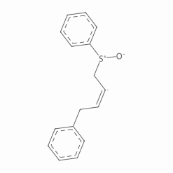 [O-][S+](C/[C]=C\Cc1ccccc1)c1ccccc1